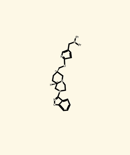 CC(C)N(Cc1ccc(OC[C@@H]2CC[C@H]3CN(c4noc5ccccc45)CCN3C2)nc1)C(C)C